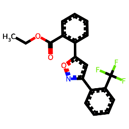 CCOC(=O)c1ccccc1-c1cc(-c2ccccc2C(F)(F)F)no1